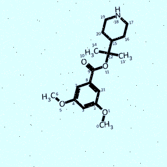 COc1cc(OC)cc(C(=O)OC(C)(C)C2CCNCC2)c1